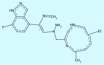 C=N/C(=C\N(N)Cc1c[nH]cc(CC)ccc(C)n1)c1ccc(F)c2[nH]ncc12